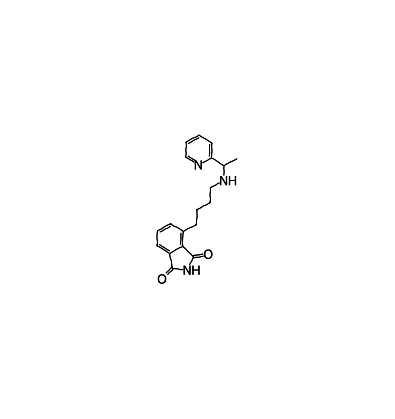 CC(NCCCCc1cccc2c1C(=O)NC2=O)c1ccccn1